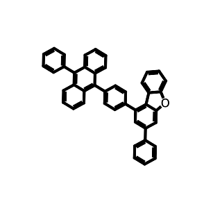 c1ccc(-c2cc(-c3ccc(-c4c5ccccc5c(-c5ccccc5)c5ccccc45)cc3)c3c(c2)oc2ccccc23)cc1